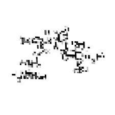 CC(C)(C)OC(=O)[C@](N)(CC(=O)O)C(=O)N1CCC[C@H]1C(=O)N[C@H](C=O)CCCNC(=N)N